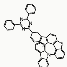 C1=CC(c2nc(-c3ccccc3)nc(-c3ccccc3)n2)Cc2c1sc1c2ccc2sc3cccc(-n4c5ccccc5c5ccccc54)c3c21